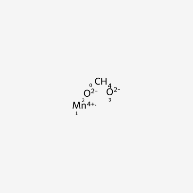 C.[Mn+4].[O-2].[O-2]